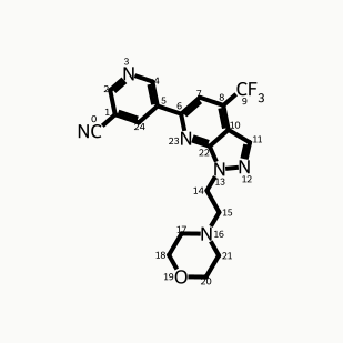 N#Cc1cncc(-c2cc(C(F)(F)F)c3cnn(CCN4CCOCC4)c3n2)c1